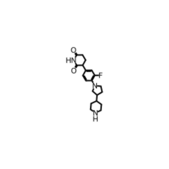 O=C1CCC(c2ccc(N3CCC(C4CCNCC4)C3)c(F)c2)C(=O)N1